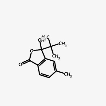 Cc1ccc2c(c1)C(O)(C(C)(C)C)OC2=O